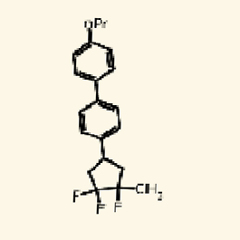 CCCc1ccc(-c2ccc(C3CC(C)(F)C(F)(F)C3)cc2)cc1